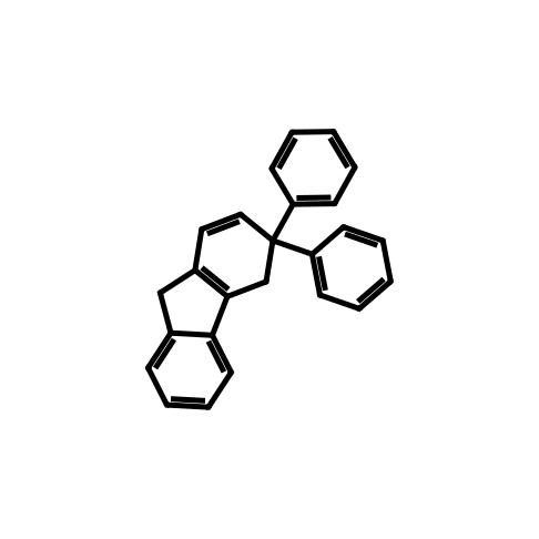 C1=CC(c2ccccc2)(c2ccccc2)CC2=C1Cc1ccccc12